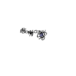 O=C(/N=C1\SCC(=O)N1c1ccccc1C1CC1)NC1Cc2ccc(-c3ncn(-c4ccc(OC(F)(F)F)cc4)n3)cc2C1